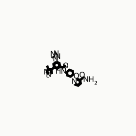 Cc1nn(C)cc1-c1cc(C(=O)N[C@H]2CC[C@H](Oc3ncccc3C(N)=O)CC2)cc(-n2cnnn2)c1